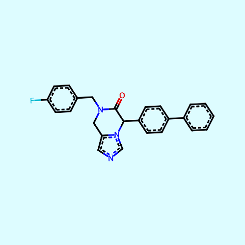 O=C1C(c2ccc(-c3ccccc3)cc2)n2cncc2CN1Cc1ccc(F)cc1